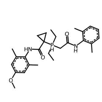 CC[PH](CC)(CC(=O)Nc1c(C)cccc1C)C1(C(=O)Nc2c(C)cc(OC)cc2C)CC1